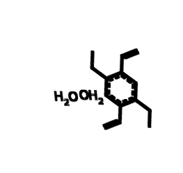 C=Cc1cc(CC)c(C=C)cc1CC.O.O